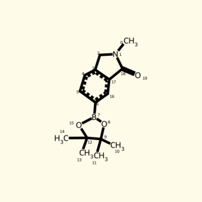 CN1Cc2ccc(B3OC(C)(C)C(C)(C)O3)cc2C1=O